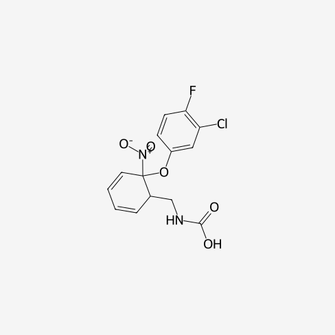 O=C(O)NCC1C=CC=CC1(Oc1ccc(F)c(Cl)c1)[N+](=O)[O-]